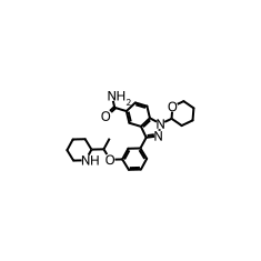 CC(Oc1cccc(-c2nn(C3CCCCO3)c3ccc(C(N)=O)cc23)c1)C1CCCCN1